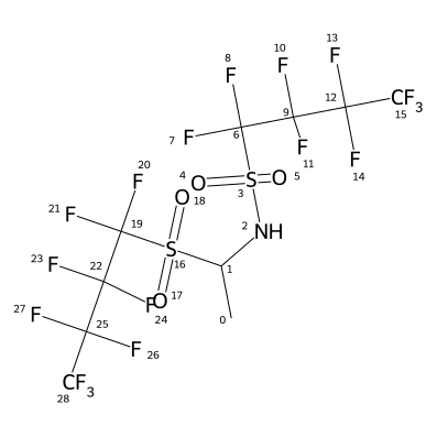 CC(NS(=O)(=O)C(F)(F)C(F)(F)C(F)(F)C(F)(F)F)S(=O)(=O)C(F)(F)C(F)(F)C(F)(F)C(F)(F)F